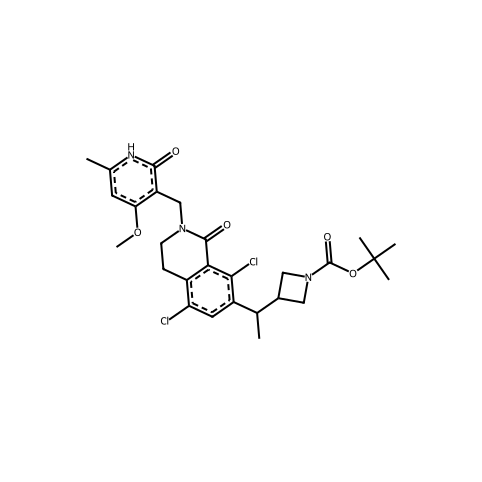 COc1cc(C)[nH]c(=O)c1CN1CCc2c(Cl)cc(C(C)C3CN(C(=O)OC(C)(C)C)C3)c(Cl)c2C1=O